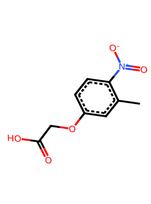 Cc1cc(OCC(=O)O)ccc1[N+](=O)[O-]